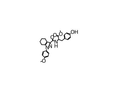 COC(=O)C(Cc1ccc(O)cc1)NC(=O)c1nn(-c2ccc(OC)cc2)c2c1CCCC2